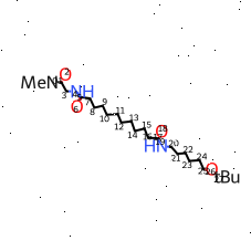 CNC(=O)CNC(=O)CCCCCCCCCCC(=O)NCCCCCCOC(C)(C)C